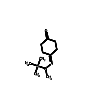 CN(N=C1CCC(=O)CC1)[Si](C)(C)C